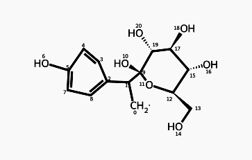 [CH2]C(c1ccc(O)cc1)[C@@]1(O)O[C@H](CO)[C@@H](O)[C@H](O)[C@H]1O